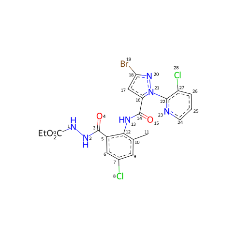 CCOC(=O)NNC(=O)c1cc(Cl)cc(C)c1NC(=O)c1cc(Br)nn1-c1ncccc1Cl